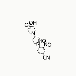 N#Cc1ccc(N2CCC(N3CCS([O-])(O)CC3)CC2)c([N+](=O)O)c1